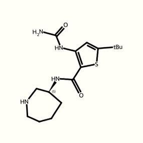 CC(C)(C)c1cc(NC(N)=O)c(C(=O)N[C@H]2CCCCNC2)s1